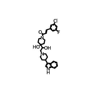 O=C(C=Cc1cc(F)cc(Cl)c1)N1CCC(O)(C(O)CN2CCC(c3c[nH]c4ccccc34)CC2)CC1